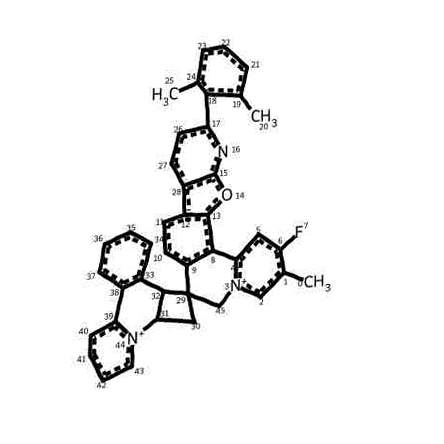 Cc1c[n+]2c(cc1F)-c1c(ccc3c1oc1nc(-c4c(C)cccc4C)ccc13)C1(CC3C1c1ccccc1-c1cccc[n+]13)C2